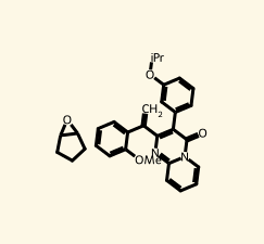 C1CC2OC2C1.C=C(c1ccccc1OC)c1nc2ccccn2c(=O)c1-c1cccc(OC(C)C)c1